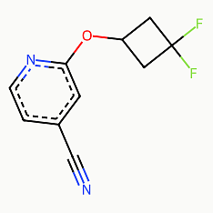 N#Cc1ccnc(OC2CC(F)(F)C2)c1